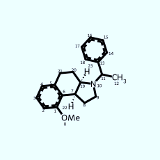 COc1cccc2c1[C@@H]1CCN(C(C)c3ccccc3)[C@@H]1CC2